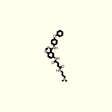 CN(C)CCCNC(=O)/C=C/C(=O)Nc1ccc2ncnc(Nc3ccc(Oc4ccccc4)cc3)c2c1